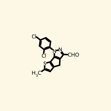 Cc1cc2c(s1)-c1c(c(C=O)nn1-c1ccc(Cl)cc1Cl)C2